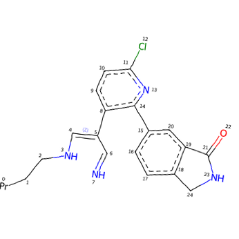 CC(C)CCN/C=C(\C=N)c1ccc(Cl)nc1-c1ccc2c(c1)C(=O)NC2